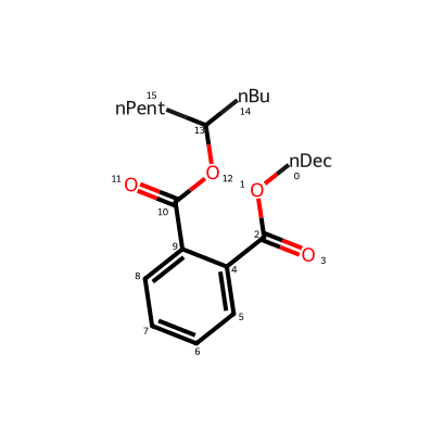 CCCCCCCCCCOC(=O)c1ccccc1C(=O)OC(CCCC)CCCCC